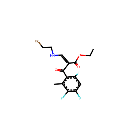 CCOC(=O)/C(=C/NCCBr)C(=O)c1c(F)cc(F)c(F)c1C